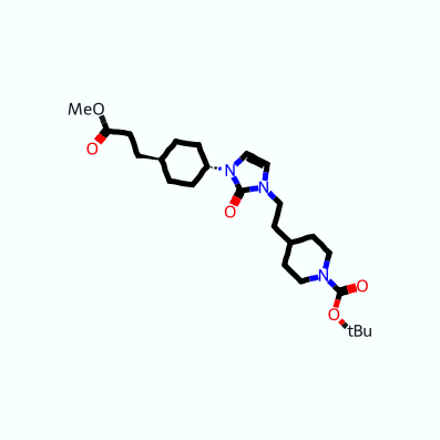 COC(=O)CC[C@H]1CC[C@H](n2ccn(CCC3CCN(C(=O)OC(C)(C)C)CC3)c2=O)CC1